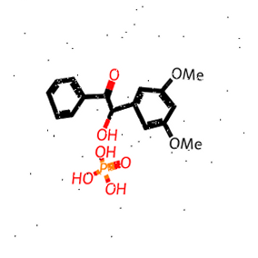 COc1cc(OC)cc(C(O)C(=O)c2ccccc2)c1.O=P(O)(O)O